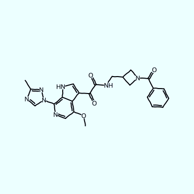 COc1cnc(-n2cnc(C)n2)c2[nH]cc(C(=O)C(=O)NCC3CN(C(=O)c4ccccc4)C3)c12